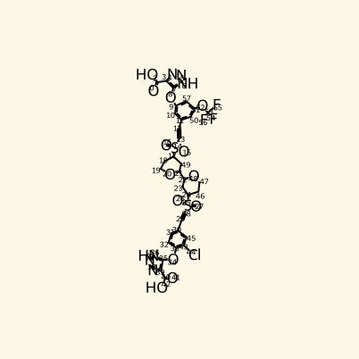 O=C(O)c1nn[nH]c1Oc1cc(C#CS(=O)(=O)C2CCOC(C3CC(S(=O)(=O)C#Cc4ccc(Oc5[nH]nnc5C(=O)O)c(Cl)c4)CCO3)C2)cc(OC(F)(F)F)c1